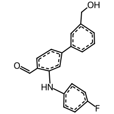 O=Cc1ccc(-c2cccc(CO)c2)cc1Nc1ccc(F)cc1